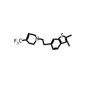 Cc1sc2cc(CCN3CC=C(C(F)(F)F)CC3)ccc2c1C